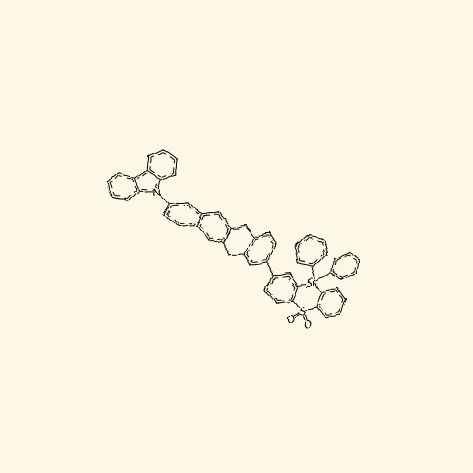 O=S1(=O)c2ccccc2[Si](c2ccccc2)(c2ccccc2)c2cc(-c3ccc4c(c3)Cc3cc5ccc(-n6c7ccccc7c7ccccc76)cc5cc3C4)ccc21